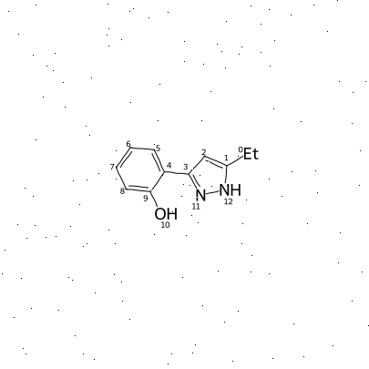 CCc1cc(-c2ccccc2O)n[nH]1